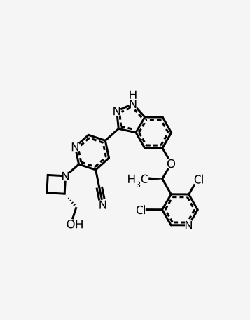 C[C@@H](Oc1ccc2[nH]nc(-c3cnc(N4CC[C@H]4CO)c(C#N)c3)c2c1)c1c(Cl)cncc1Cl